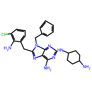 Nc1c(Cl)cccc1Cc1nc2c(N)nc(NC3CCC(N)CC3)nc2n1Cc1ccccc1